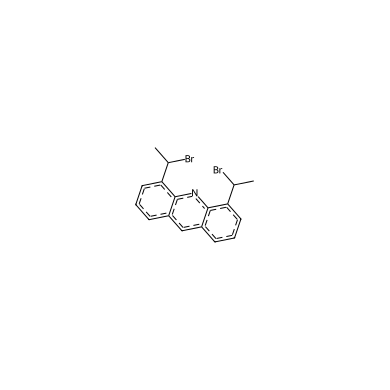 CC(Br)c1cccc2cc3cccc(C(C)Br)c3nc12